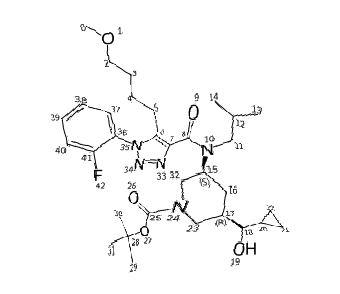 COCCCCc1c(C(=O)N(CC(C)C)[C@H]2C[C@@H](C(O)C3CC3)CN(C(=O)OC(C)(C)C)C2)nnn1-c1ccccc1F